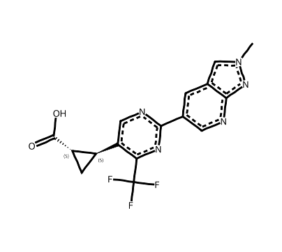 Cn1cc2cc(-c3ncc([C@H]4C[C@@H]4C(=O)O)c(C(F)(F)F)n3)cnc2n1